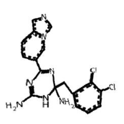 NC1=NC(c2ccc3cncn3c2)=NC(N)(Cc2cccc(Cl)c2Cl)N1